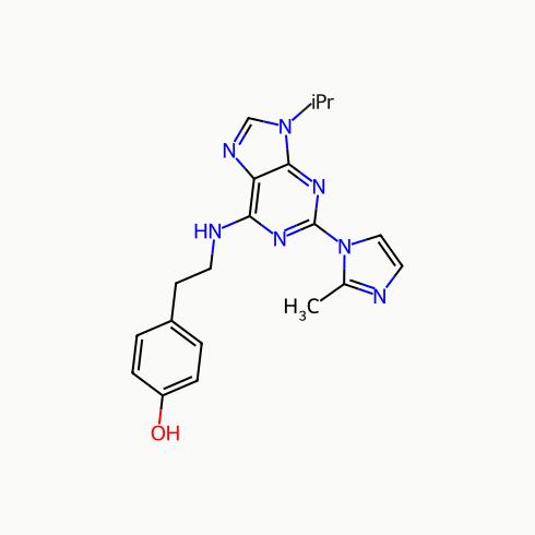 Cc1nccn1-c1nc(NCCc2ccc(O)cc2)c2ncn(C(C)C)c2n1